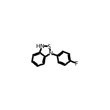 Fc1ccc(N2SNc3ccccc32)cc1